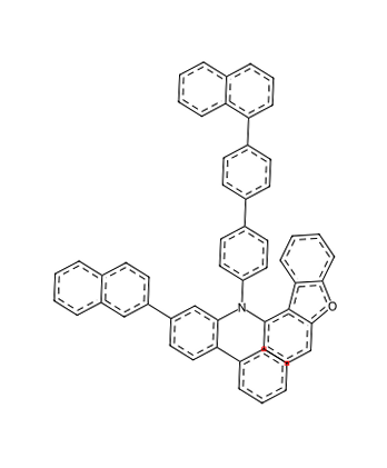 c1ccc(-c2ccc(-c3ccc4ccccc4c3)cc2N(c2ccc(-c3ccc(-c4cccc5ccccc45)cc3)cc2)c2cccc3oc4ccccc4c23)cc1